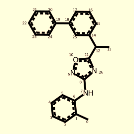 Cc1ccccc1Nc1noc(C(C)c2cccc(-c3ccccc3)c2)n1